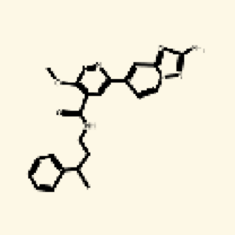 COc1nnc(-c2ccn3nc(N)nc3c2)cc1C(=O)NCCC(C)c1ccccc1